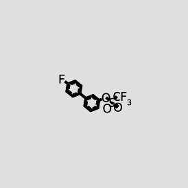 O=S(=O)(Oc1cccc(-c2ccc(F)cc2)c1)C(F)(F)F